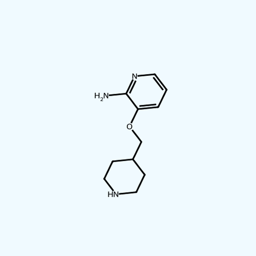 Nc1ncccc1OCC1CCNCC1